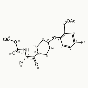 CC(=O)OCc1cc(F)ccc1OC1CCN(C(=O)[C@@H](NC(=O)OC(C)(C)C)C(C)C)CC1